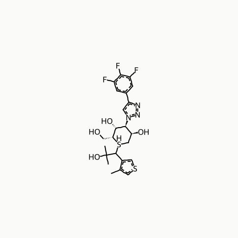 Cc1cscc1C([SH]1C[C@H](O)[C@H](n2cc(-c3cc(F)c(F)c(F)c3)nn2)[C@@H](O)[C@H]1CO)C(C)(C)O